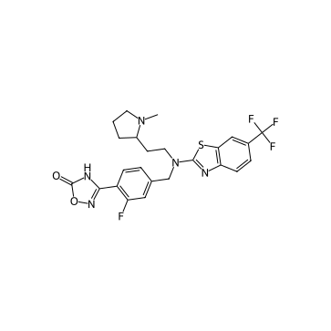 CN1CCCC1CCN(Cc1ccc(-c2noc(=O)[nH]2)c(F)c1)c1nc2ccc(C(F)(F)F)cc2s1